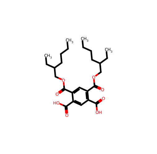 CCCCC(CC)COC(=O)c1cc(C(=O)OCC(CC)CCCC)c(C(=O)O)cc1C(=O)O